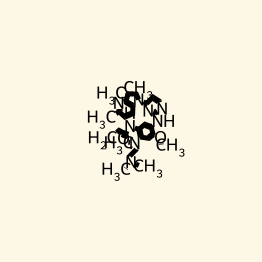 C=CC(=O)Nc1cc(Nc2nccc(N3CC(C)(C)c4nc(C)ccc43)n2)c(OC)cc1N(C)CCN(C)C